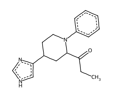 CCC(=O)C1CC(c2c[nH]cn2)CCN1c1ccccc1